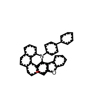 c1ccc(-c2ccc(N(c3cccc4oc5ccccc5c34)c3cccc4ccc5ccc6ccccc6c5c34)cc2)cc1